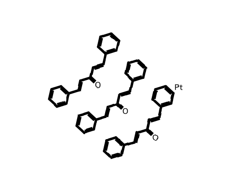 O=C(C=Cc1ccccc1)C=Cc1ccccc1.O=C(C=Cc1ccccc1)C=Cc1ccccc1.O=C(C=Cc1ccccc1)C=Cc1ccccc1.[Pt]